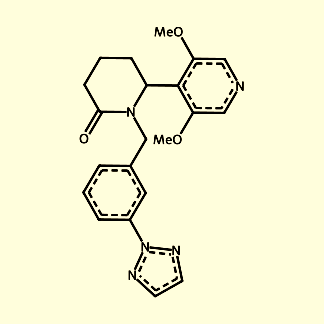 COc1cncc(OC)c1C1CCCC(=O)N1Cc1cccc(-n2nccn2)c1